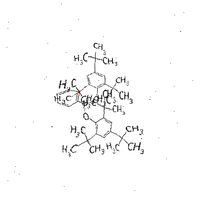 CC(C)(C)c1cc(C(C)(C)C)c(OP(Oc2c(C(C)(C)C)cc(C(C)(C)C)cc2C(C)(C)C)c2ccccc2)c(C(C)(C)C)c1